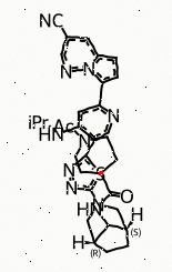 CC(=O)N1CCC(C(=O)NC2[C@@H]3CC[C@H]2CN(c2nnc(-c4cnc(-c5ccc6cc(C#N)cnn56)cc4NC(C)C)s2)C3)CC1